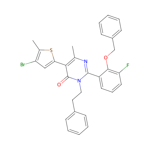 Cc1nc(-c2cccc(F)c2OCc2ccccc2)n(CCc2ccccc2)c(=O)c1-c1cc(Br)c(C)s1